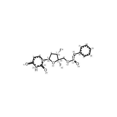 O=c1ccn([C@H]2C[C@H](F)[C@@](F)(CO[PH](=O)Oc3ccccc3)O2)c(=O)[nH]1